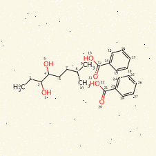 CCC(O)C(O)CCC(C)C.O=C(O)c1ccccc1.O=C(O)c1ccccc1